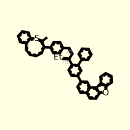 CC/C=C(\C=C/c1ccc(-c2ccccc3ccccc3sc2C)cc1)c1ccc(-c2ccc3ccc4oc5ccccc5c4c3c2)cc1-c1ccccc1